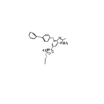 CCCCS(=O)(=O)NC(=O)c1cc(Cc2ccc(-c3ccccc3)cc2)c2nc(C)[nH]c2c1